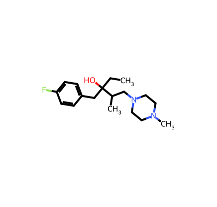 CCC(O)(Cc1ccc(F)cc1)C(C)CN1CCN(C)CC1